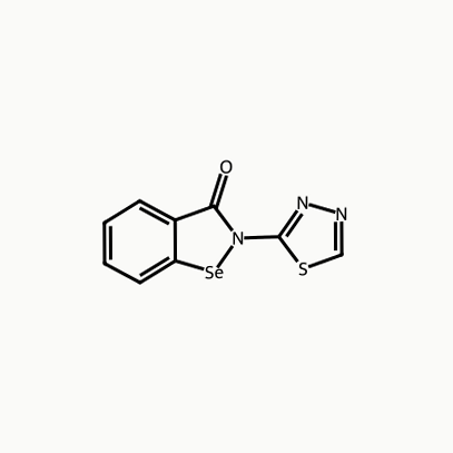 O=c1c2ccccc2[se]n1-c1nncs1